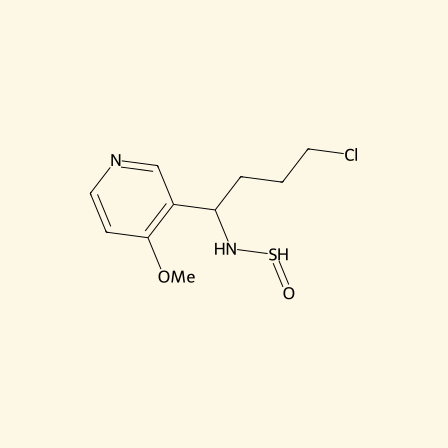 COc1ccncc1C(CCCCl)N[SH]=O